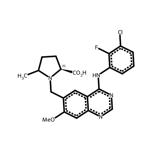 COc1cc2ncnc(Nc3cccc(Cl)c3F)c2cc1CN1C(C)CC[C@H]1C(=O)O